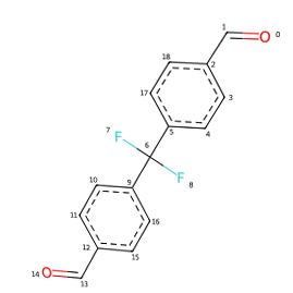 O=Cc1ccc(C(F)(F)c2ccc(C=O)cc2)cc1